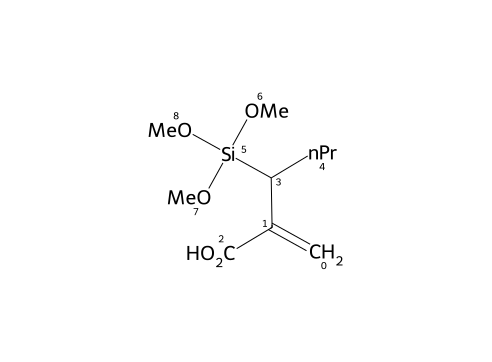 C=C(C(=O)O)C(CCC)[Si](OC)(OC)OC